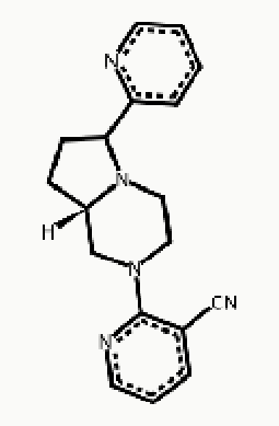 N#Cc1cccnc1N1CCN2C(c3ccccn3)CC[C@H]2C1